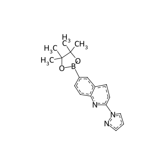 CC1(C)OB(c2ccc3nc(-n4cccn4)ccc3c2)OC1(C)C